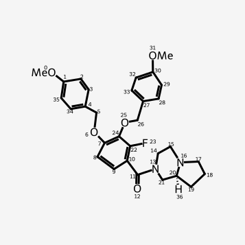 COc1ccc(COc2ccc(C(=O)N3CCN4CCC[C@H]4C3)c(F)c2OCc2ccc(OC)cc2)cc1